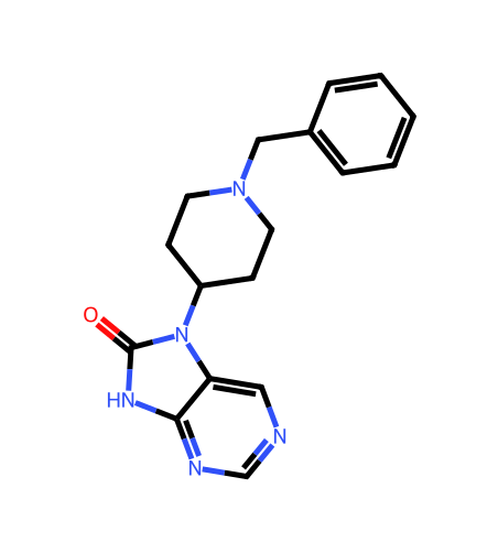 O=c1[nH]c2ncncc2n1C1CCN(Cc2ccccc2)CC1